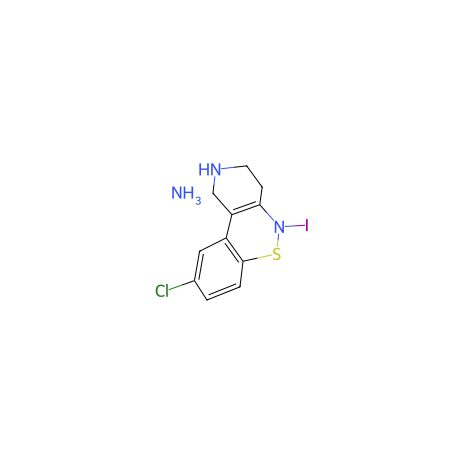 Clc1ccc2c(c1)C1=C(CCNC1)N(I)S2.N